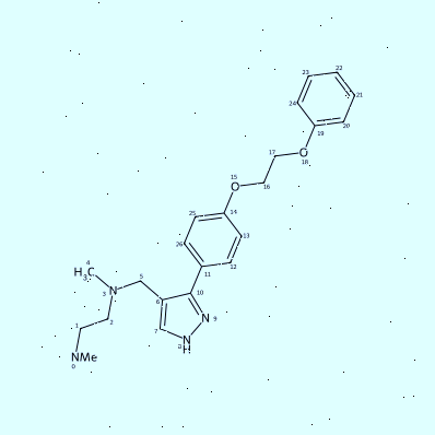 CNCCN(C)Cc1c[nH]nc1-c1ccc(OCCOc2ccccc2)cc1